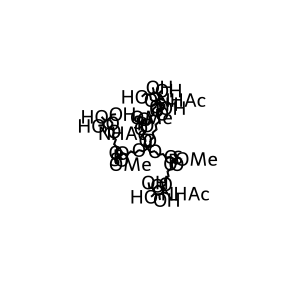 COSP(=O)(OCCCCOC1OC(CO)C(O)C(O)C1NC(C)=O)OCCCOCC(COCCCCCCOP(=O)(O)S)(COCCCOP(=O)(OCCCCOC1OC(CO)C(O)C(O)C1NC(C)=O)SOC)COCCOP(=O)(OCCCCOC1OC(CO)C(O)C(O)C1NC(C)=O)SOC